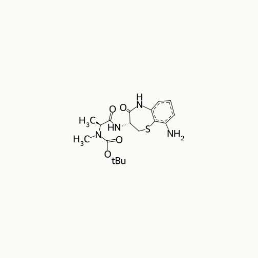 C[C@@H](C(=O)N[C@H]1CSc2c(N)cccc2NC1=O)N(C)C(=O)OC(C)(C)C